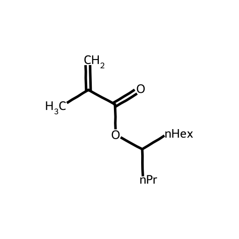 C=C(C)C(=O)OC(CCC)CCCCCC